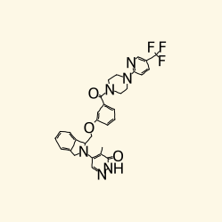 Cc1c(N2Cc3ccccc3C2COc2cccc(C(=O)N3CCN(c4ccc(C(F)(F)F)cn4)CC3)c2)cn[nH]c1=O